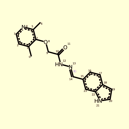 Cc1ccnc(C)c1OCC(=O)N/N=C/c1ccc2cc[nH]c2c1